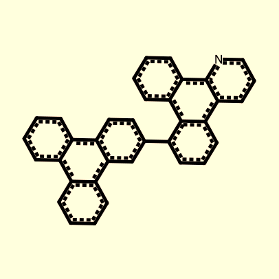 c1ccc2c(c1)c1ccccc1c1cc(-c3cccc4c5cccnc5c5ccccc5c34)ccc21